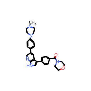 CN1CCN(c2ccc(-c3cnc4[nH]cc(-c5ccc(C(=O)N6CCOCC6)cc5)c4c3)cc2)CC1